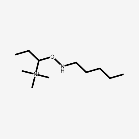 CCCCCNOC(CC)[N+](C)(C)C